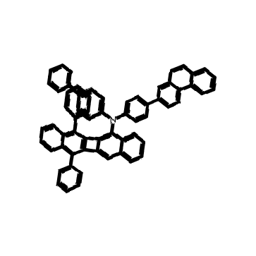 c1ccc(-c2ccc(N(c3ccc(-c4ccc5c(ccc6ccccc65)c4)cc3)c3c4c(cc5ccccc35)-c3c-4c(-c4ccccc4)c4ccccc4c3-c3ccccc3)cc2)cc1